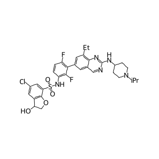 CCc1cc(-c2c(F)ccc(NS(=O)(=O)c3cc(Cl)cc4c3OCC4O)c2F)cc2cnc(NC3CCN(C(C)C)CC3)nc12